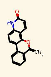 C=C1Oc2c(ccc3[nH]c(=O)ccc23)-c2ccccc21